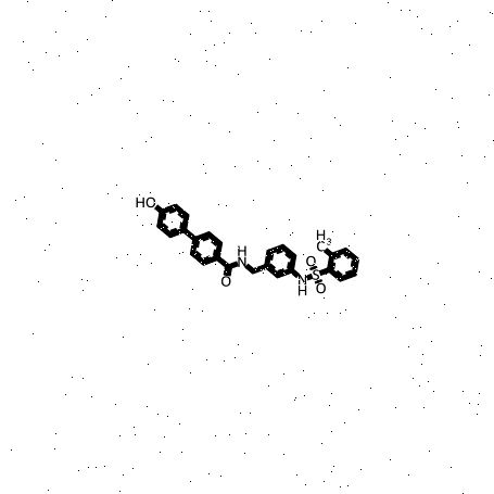 Cc1ccccc1S(=O)(=O)Nc1cccc(CNC(=O)c2ccc(-c3ccc(O)cc3)cc2)c1